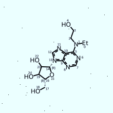 CCN(CCO)c1ncnc2c1ncn2[C@@H]1O[C@H](CO)C(O)C1O